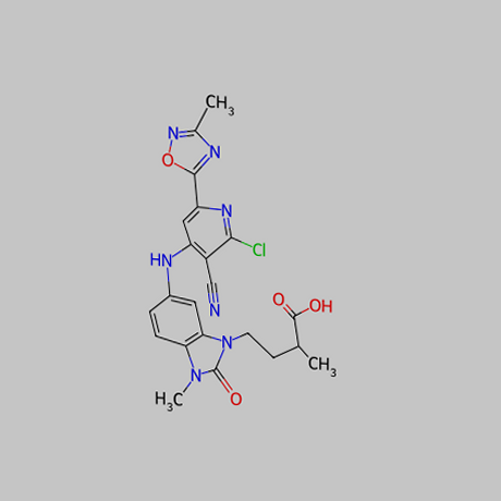 Cc1noc(-c2cc(Nc3ccc4c(c3)n(CCC(C)C(=O)O)c(=O)n4C)c(C#N)c(Cl)n2)n1